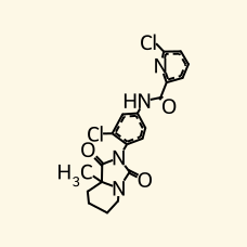 CC12CCCCN1C(=O)N(c1ccc(NC(=O)c3cccc(Cl)n3)cc1Cl)C2=O